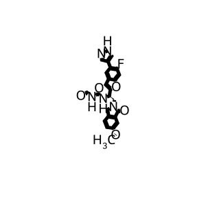 COc1ccc2c(c1)C(=O)N(C[C@H](NC(=O)NC=O)c1cc3cc(-c4cn[nH]c4)c(F)cc3o1)C2